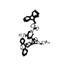 CCOCCCC1(CNC(=O)[C@H]2C[C@@H](N)CN(C(=O)OCC3c4ccccc4-c4ccccc43)C2)c2ccccc2Oc2ccccc21